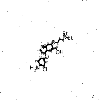 CCN(CC)CCCOc1cc2nccc(Oc3ccc(N)c(Cl)c3)c2cc1CO